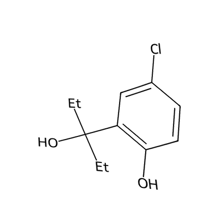 CCC(O)(CC)c1cc(Cl)ccc1O